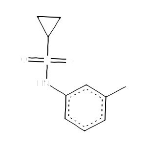 Cc1cccc(NS(=O)(=O)C2CC2)c1